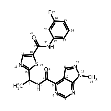 CC(NC(=O)c1ncnc2c1cnn2C)c1ncc(C(=O)Nc2cccc(F)c2)s1